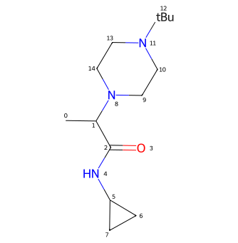 CC(C(=O)NC1CC1)N1CCN(C(C)(C)C)CC1